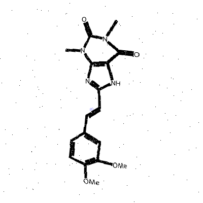 COc1ccc(/C=C/c2nc3c([nH]2)c(=O)n(C)c(=O)n3C)cc1OC